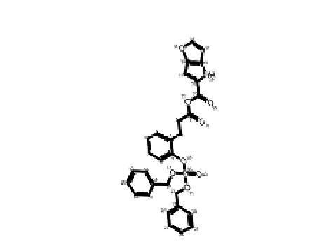 O=C(CCc1ccccc1OP(=O)(OCc1ccccc1)OCc1ccccc1)OC(=O)c1cc2occc2[nH]1